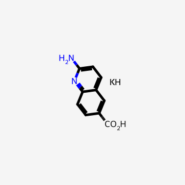 Nc1ccc2cc(C(=O)O)ccc2n1.[KH]